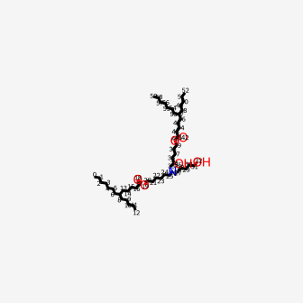 CCCCCCCC(CCCCC)CCCCC(=O)OCCCCCCN(CCCCCO)CC(O)CCCCOC(=O)CCCCC(CCCCC)CCCCCCC